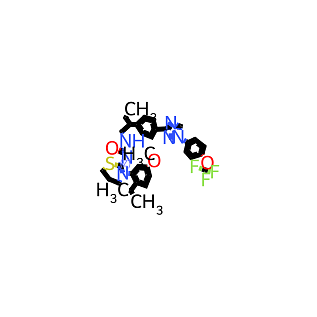 CCC(CNC(=O)/N=C1\SCCCN1c1cc(OC)ccc1C(C)C)c1ccc(-c2ncn(-c3ccc(OC(F)(F)F)cc3)n2)cc1